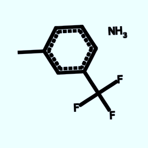 Cc1cccc(C(F)(F)F)c1.N